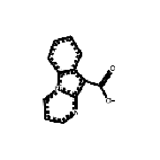 O=C(O)c1c2ccccc2n2cccnc12